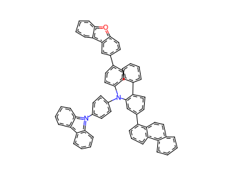 c1ccc(-c2ccc(-c3cccc4c3ccc3ccccc34)cc2N(c2ccc(-c3ccc4oc5ccccc5c4c3)cc2)c2ccc(-n3c4ccccc4c4ccccc43)cc2)cc1